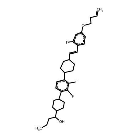 C=CCCOc1ccc(/C=C/C2CCC(c3ccc(C4CCC(C(O)CCC)CC4)c(F)c3F)CC2)c(F)c1